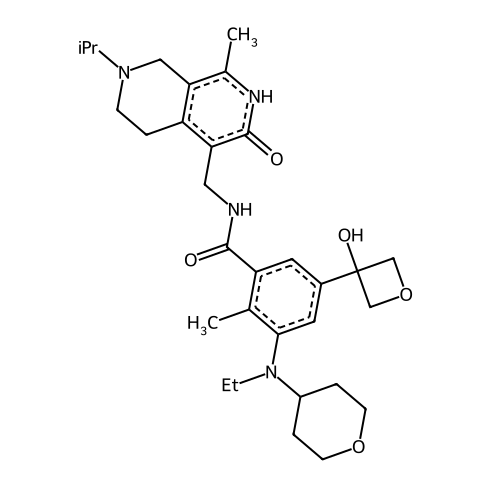 CCN(c1cc(C2(O)COC2)cc(C(=O)NCc2c3c(c(C)[nH]c2=O)CN(C(C)C)CC3)c1C)C1CCOCC1